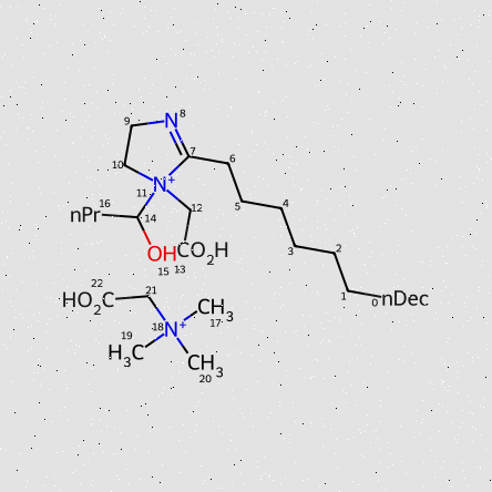 CCCCCCCCCCCCCCCCC1=NCC[N+]1(CC(=O)O)C(O)CCC.C[N+](C)(C)CC(=O)O